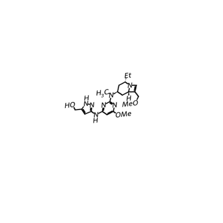 CC[C@H]1C[C@H](N(C)c2nc(Nc3cc(CO)[nH]n3)cc(OC)n2)C[C@H]2C(COC)=CN12